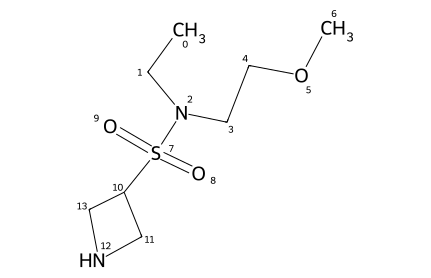 CCN(CCOC)S(=O)(=O)C1CNC1